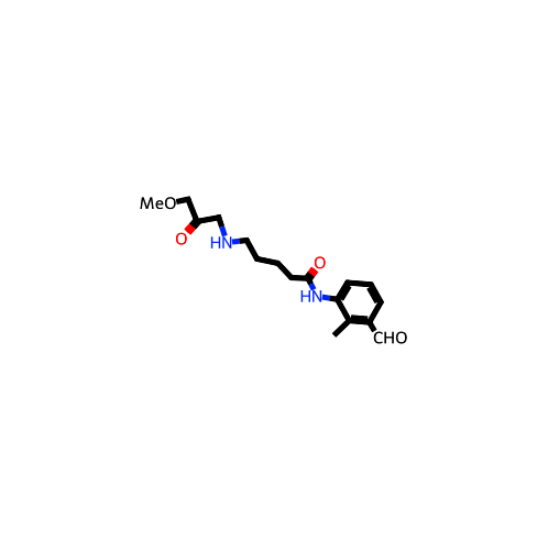 COCC(=O)CNCCCCC(=O)Nc1cccc(C=O)c1C